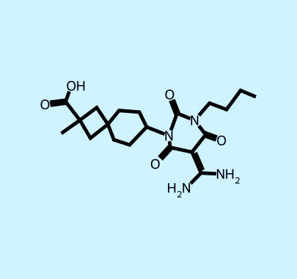 CCCCN1C(=O)C(=C(N)N)C(=O)N(C2CCC3(CC2)CC(C)(C(=O)O)C3)C1=O